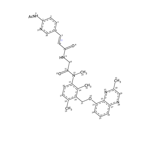 CC(=O)Nc1ccc(/C=C/C(=O)NCC(=O)N(C)c2ccc(C)c(COc3cccc4ncc(C)nc34)c2C)cn1